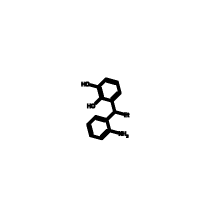 CCC(c1ccccc1N)c1cccc(O)c1O